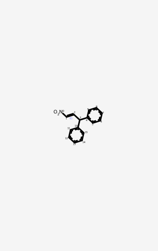 O=[N+]([O-])/C=C/C(c1ccccc1)c1ccccc1